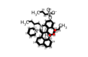 CCCCNc1cccc2cccc(C(=C[n+]3ccccc3)c3cccc4cccc(NCCCC)c34)c12.CCCS(=O)(=O)[O-]